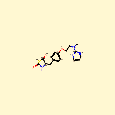 CN(CCOc1ccc(CC2NC(=O)SC2=O)cc1)c1ncccn1